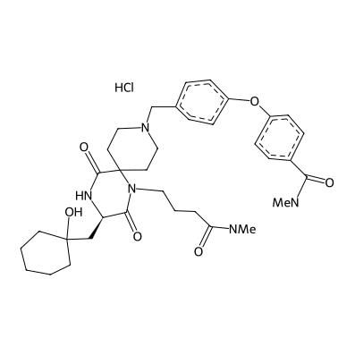 CNC(=O)CCCN1C(=O)[C@@H](CC2(O)CCCCC2)NC(=O)C12CCN(Cc1ccc(Oc3ccc(C(=O)NC)cc3)cc1)CC2.Cl